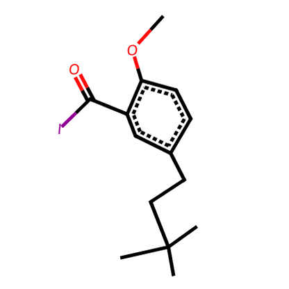 COc1ccc(CCC(C)(C)C)cc1C(=O)I